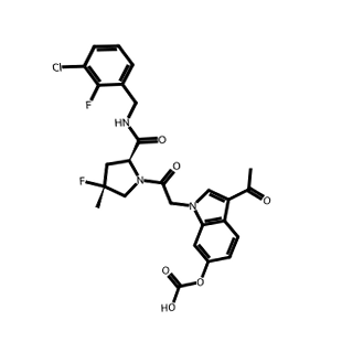 CC(=O)c1cn(CC(=O)N2C[C@](C)(F)C[C@H]2C(=O)NCc2cccc(Cl)c2F)c2cc(OC(=O)O)ccc12